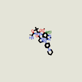 CN[C@@H](C)C(=O)N[C@H](C(=O)N(C(=O)C1CCCN1)c1cc2c(Nc3ccc(N4CCCCC4)cc3)ncnc2cc1OC)C(C)(C)C.Cl.Cl